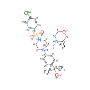 C[C@@H]1COCCN1C[C@H]1CN(S(=O)(=O)c2ccc(Cl)nc2)CCN1c1ccc(C(O)(C(F)(F)F)C(F)(F)F)cc1